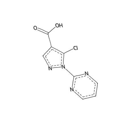 O=C(O)c1cnn(-c2ncccn2)c1Cl